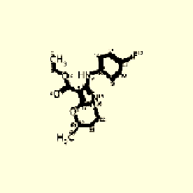 CCOC(=O)c1c(Nc2ccc(F)cc2)nn2c1O[C@H](C)CC2